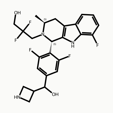 C[C@H]1Cc2c([nH]c3c(F)cccc23)[C@H](c2c(F)cc(C(O)C3CNC3)cc2F)N1CC(F)(F)CO